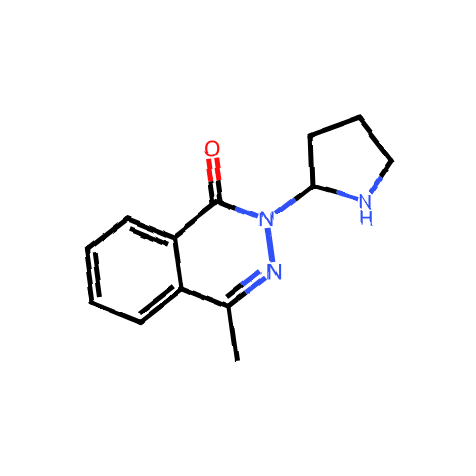 Cc1nn(C2CCCN2)c(=O)c2ccccc12